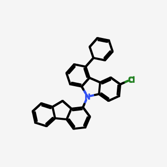 Clc1ccc2c(c1)c1c(C3C=CC=CC3)cccc1n2-c1cccc2c1Cc1ccccc1-2